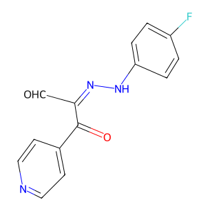 O=CC(=NNc1ccc(F)cc1)C(=O)c1ccncc1